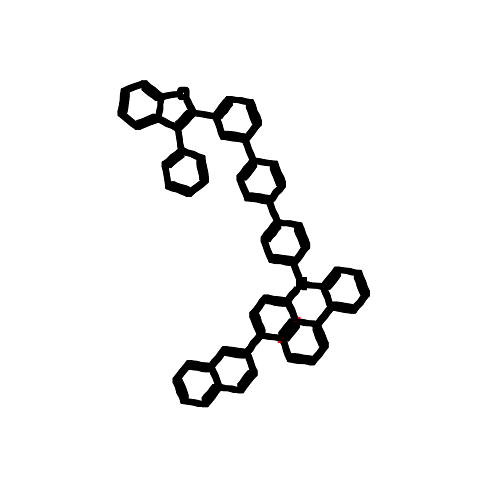 c1ccc(-c2ccccc2N(c2ccc(-c3ccc(-c4cccc(-c5oc6ccccc6c5-c5ccccc5)c4)cc3)cc2)c2ccc(-c3ccc4ccccc4c3)cc2)cc1